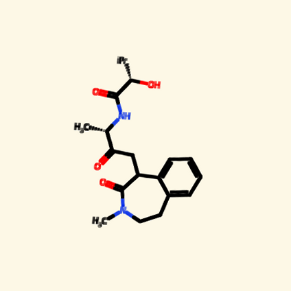 CC(C)[C@H](O)C(=O)N[C@@H](C)C(=O)CC1C(=O)N(C)CCc2ccccc21